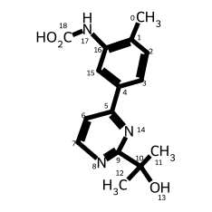 Cc1ccc(-c2ccnc(C(C)(C)O)n2)cc1NC(=O)O